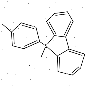 Cc1ccc(S2(C)c3ccccc3-c3ccccc32)cc1